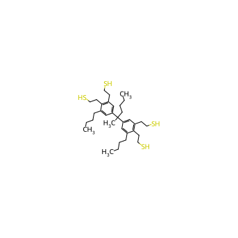 CCCCc1cc(C(C)(CCCC)c2cc(CCS)c(CCS)c(CCCC)c2)cc(CCS)c1CCS